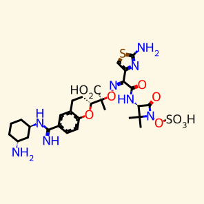 CC1(C)[C@H](NC(=O)/C(=N\O[C@](C)(C(=O)O)[C@H]2CCc3cc(C(=N)N[C@@H]4CCC[C@@H](N)C4)ccc3O2)c2csc(N)n2)C(=O)N1OS(=O)(=O)O